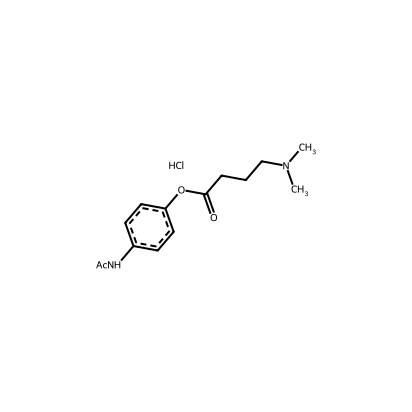 CC(=O)Nc1ccc(OC(=O)CCCN(C)C)cc1.Cl